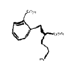 COC(CCC(C)C)Cc1ccccc1C(=O)O